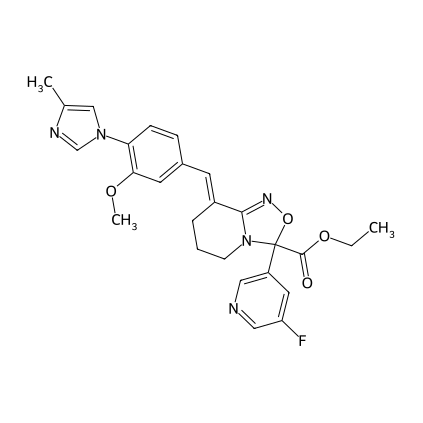 CCOC(=O)C1(c2cncc(F)c2)ON=C2C(=Cc3ccc(-n4cnc(C)c4)c(OC)c3)CCCN21